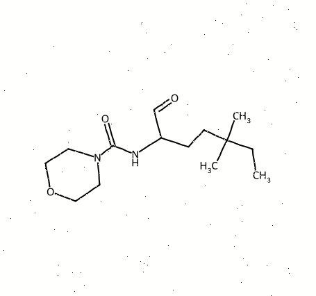 CCC(C)(C)CCC(C=O)NC(=O)N1CCOCC1